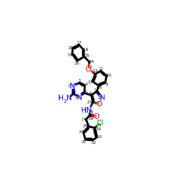 Nc1nccc(-c2c(-c3cccc(OCc4ccccc4)c3)noc2NC(=O)Cc2ccccc2Cl)n1